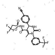 CC1=C(C(=O)NS(=O)(=O)CC(F)(F)F)C(c2ccc(C#N)cc2)NC(=O)N1c1cccc(C(F)(F)F)c1